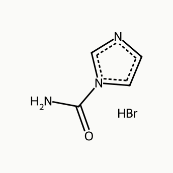 Br.NC(=O)n1ccnc1